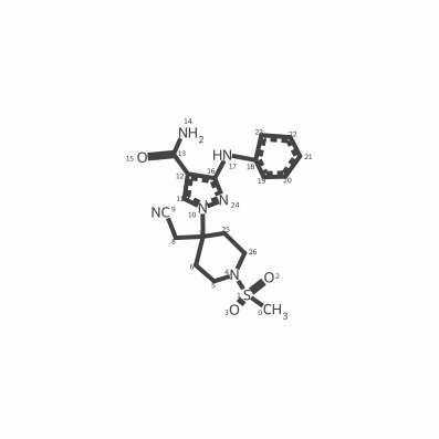 CS(=O)(=O)N1CCC(CC#N)(n2cc(C(N)=O)c(Nc3ccccc3)n2)CC1